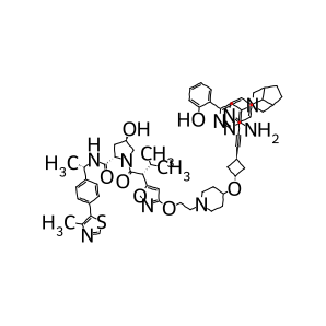 Cc1ncsc1-c1ccc([C@H](C)NC(=O)[C@@H]2C[C@@H](O)CN2C(=O)[C@@H](c2cc(OCCN3CCC(O[C@H]4C[C@H](C#Cc5cc(C6C7CCC6CN(c6cc(-c8ccccc8O)nnc6N)C7)ccn5)C4)CC3)no2)C(C)C)cc1